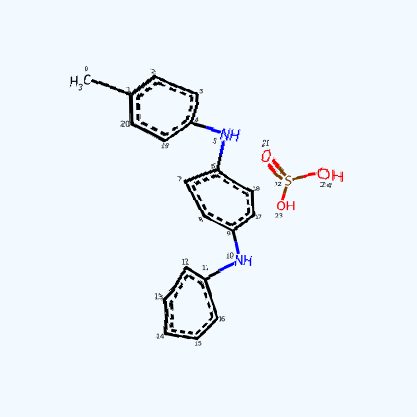 Cc1ccc(Nc2ccc(Nc3ccccc3)cc2)cc1.O=S(O)O